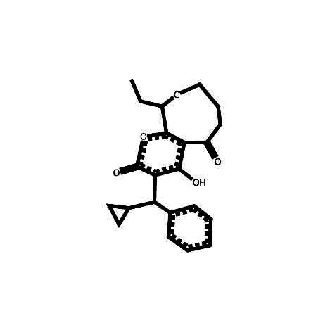 CCC1CCCCC(=O)c2c1oc(=O)c(C(c1ccccc1)C1CC1)c2O